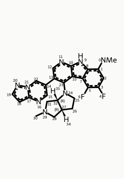 CNc1cc(F)c(F)c2c1[nH]c1ncc(-c3cnc4ccnn4c3)c(N3CC[C@@H]4CN(C)C[C@@H]43)c12